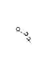 N#C[C@@]1(O)CCN(c2ccnc(NC(=O)NC3CCCCC3)c2)C1=O